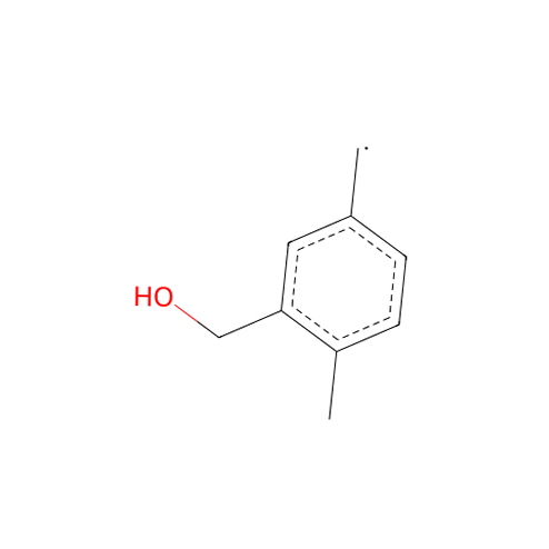 [CH2]c1ccc(C)c(CO)c1